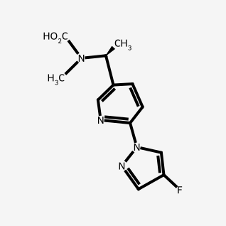 C[C@@H](c1ccc(-n2cc(F)cn2)nc1)N(C)C(=O)O